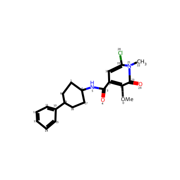 COc1c(C(=O)NC2CCC(c3ccccc3)CC2)cc(Cl)n(C)c1=O